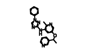 Cc1ncc(OC(C)c2cccnc2)cc1Nc1ncn(-c2ccccc2)n1